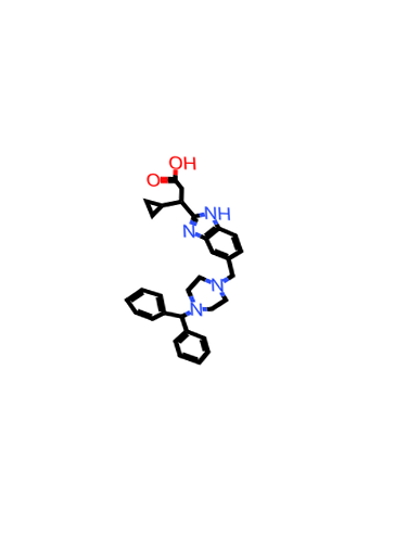 O=C(O)CC(c1nc2cc(CN3CCN(C(c4ccccc4)c4ccccc4)CC3)ccc2[nH]1)C1CC1